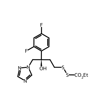 CCOC(=O)SSCC[C@](O)(Cn1cncn1)c1ccc(F)cc1F